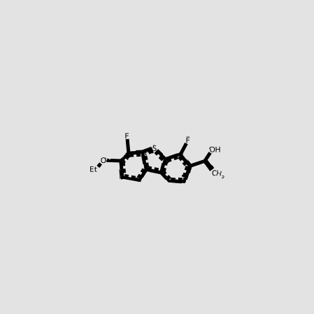 C=C(O)c1ccc2c(sc3c(F)c(OCC)ccc32)c1F